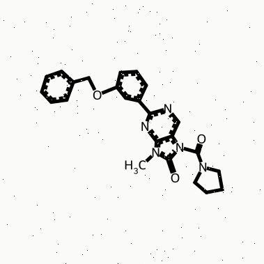 Cn1c(=O)n(C(=O)N2CCCC2)c2cnc(-c3cccc(OCc4ccccc4)c3)nc21